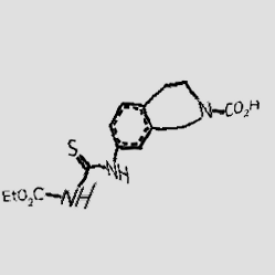 CCOC(=O)NC(=S)Nc1ccc2c(c1)CN(C(=O)O)CC2